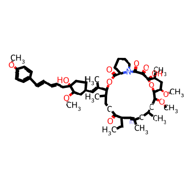 CCC1/C=C(\C)CC(C)CC(OC)C2OC(O)(C(=O)C(=O)N3CCCCC3C(=O)OC(C(C)=CC3CCC(O)(CC=CC=Cc4ccc(OC)cc4)C(OC)C3)C(C)CCC1=O)C(C)CC2OC